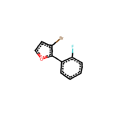 Fc1ccccc1-c1o[c]cc1Br